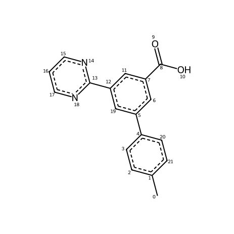 Cc1ccc(-c2cc(C(=O)O)cc(-c3ncccn3)c2)cc1